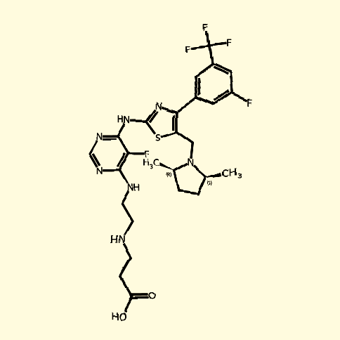 C[C@@H]1CC[C@H](C)N1Cc1sc(Nc2ncnc(NCCNCCC(=O)O)c2F)nc1-c1cc(F)cc(C(F)(F)F)c1